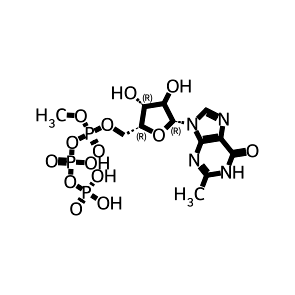 COP(=O)(OC[C@H]1O[C@@H](n2cnc3c(=O)[nH]c(C)nc32)C(O)[C@H]1O)OP(=O)(O)OP(=O)(O)O